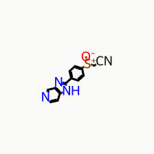 N#CC[S+]([O-])c1ccc(-c2nc3cnccc3[nH]2)cc1